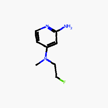 CN(CCF)c1ccnc(N)c1